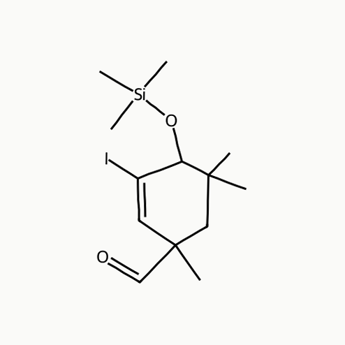 CC1(C=O)C=C(I)C(O[Si](C)(C)C)C(C)(C)C1